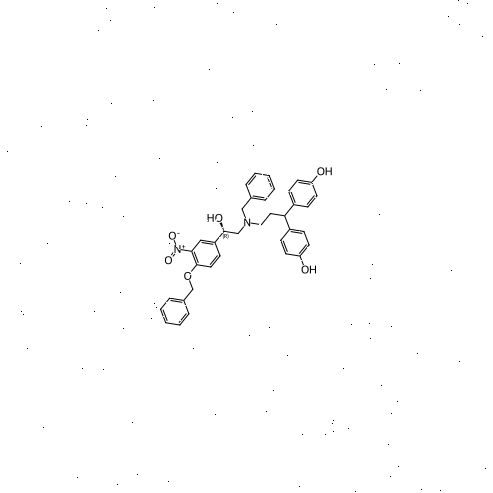 O=[N+]([O-])c1cc([C@@H](O)CN(CCC(c2ccc(O)cc2)c2ccc(O)cc2)Cc2ccccc2)ccc1OCc1ccccc1